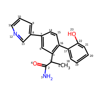 CC(C(N)=O)c1cc(-c2cccnc2)ccc1-c1ccccc1O